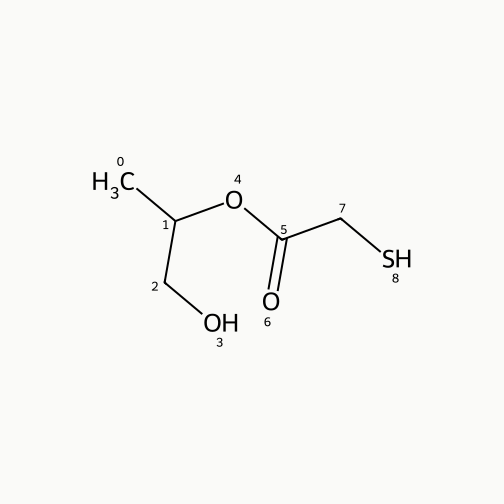 CC(CO)OC(=O)CS